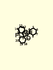 O=P(O)(C1CCCCC1)C1(c2ccccc2F)CCCCC1